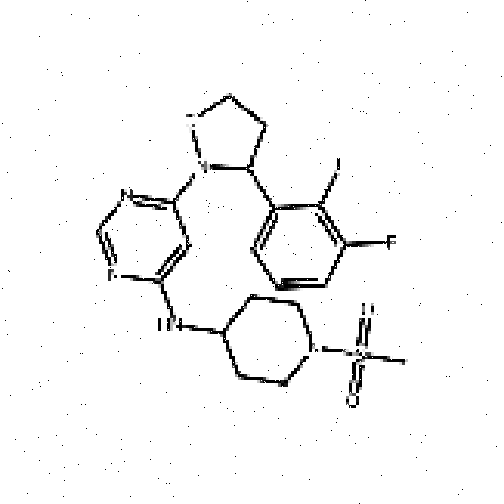 CS(=O)(=O)N1CCC(Nc2cc(N3OCCC3c3cccc(F)c3F)ncn2)CC1